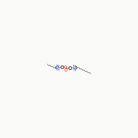 CCCCCCCCCCc1cnc(-c2ccc(C(=O)Oc3ccc(-c4ncc(CCCCCC)cn4)cc3)cc2)nc1